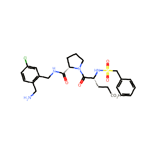 NCc1ccc(Cl)cc1CNC(=O)[C@@H]1CCCN1C(=O)[C@@H](CCC(=O)O)NS(=O)(=O)Cc1ccccc1